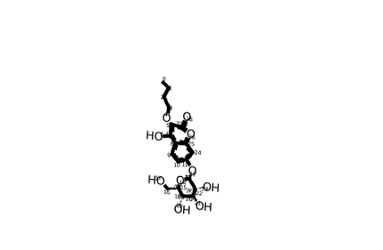 CCCCOc1c(O)c2ccc(O[C@@H]3O[C@H](CO)[C@@H](O)[C@H](O)[C@H]3O)cc2oc1=O